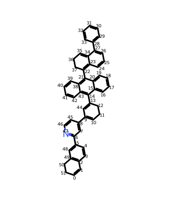 C1=Cc2ccc(-c3cc(C4=CCCC(c5c6ccccc6c(C6=c7cccc(-c8ccccc8)c7=CCC6)c6ccccc56)=C4)ccn3)cc2CC1